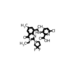 CCn1c(N2CCC(F)(F)C2)nc2c([C@H](C)Nc3ccc(Cl)nc3C(=O)O)cc(C)cc2c1=O